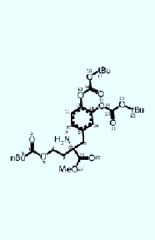 CCCCC(=O)OCC[C@@](N)(Cc1ccc(OC(=O)OC(C)(C)C)c(OC(=O)OC(C)(C)C)c1)C(=O)OC